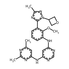 COc1c(Nc2cc(Nc3cc(C)nc(C)n3)ncn2)cccc1-c1nc(C)nn1C1COC1